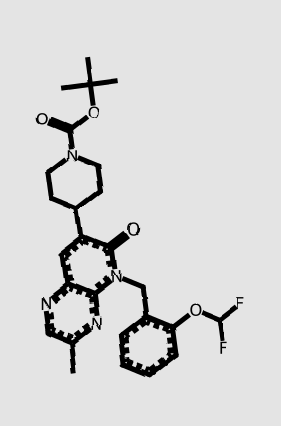 Cc1cnc2cc(C3CCN(C(=O)OC(C)(C)C)CC3)c(=O)n(Cc3ccccc3OC(F)F)c2n1